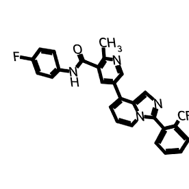 Cc1ncc(-c2cccn3c(-c4ccccc4C(F)(F)F)ncc23)cc1C(=O)Nc1ccc(F)cc1